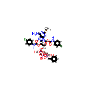 CSc1nc(N)c2ncn([C@@H](OC(=O)Nc3ccc(F)cc3)O[C@H](COP(=O)(O)OP(=O)(O)OP(=O)(O)Cc3ccccc3)[C@@H](C)OC(=O)Nc3ccc(F)cc3)c2n1